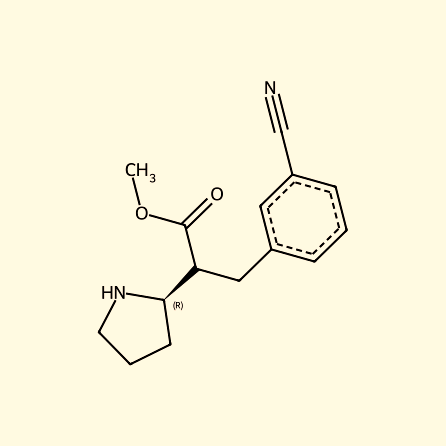 COC(=O)C(Cc1cccc(C#N)c1)[C@H]1CCCN1